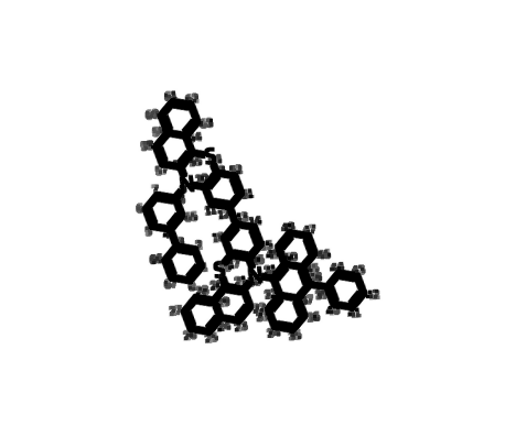 c1ccc(-c2cccc(N3c4cc(-c5ccc6c(c5)Sc5c(ccc7ccccc57)N6c5c6ccccc6c(-c6ccccc6)c6ccccc56)ccc4Sc4c3ccc3ccccc43)c2)cc1